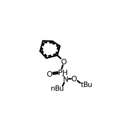 CCCCN(OC(C)(C)C)[PH](=O)Oc1ccccc1